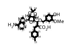 COc1cc(COC(C(=Cc2ccc(C)cc2)C(=O)O)[C@H]2O[C@@H](n3cnc4c(N)ncnc43)[C@@H]3OC(C)(C)O[C@@H]32)ccc1O